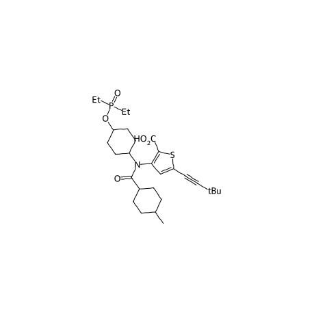 CCP(=O)(CC)OC1CCC(N(C(=O)C2CCC(C)CC2)c2cc(C#CC(C)(C)C)sc2C(=O)O)CC1